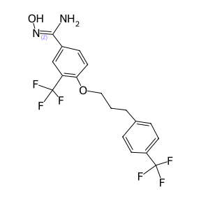 N/C(=N\O)c1ccc(OCCCc2ccc(C(F)(F)F)cc2)c(C(F)(F)F)c1